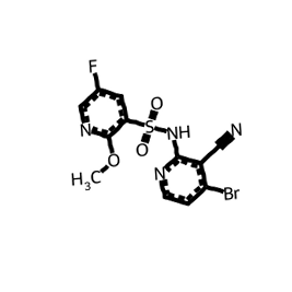 COc1ncc(F)cc1S(=O)(=O)Nc1nccc(Br)c1C#N